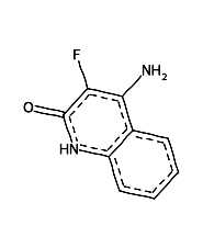 Nc1c(F)c(=O)[nH]c2ccccc12